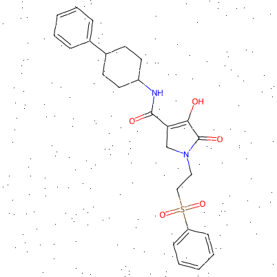 O=C(NC1CCC(c2ccccc2)CC1)C1=C(O)C(=O)N(CCS(=O)(=O)c2ccccc2)C1